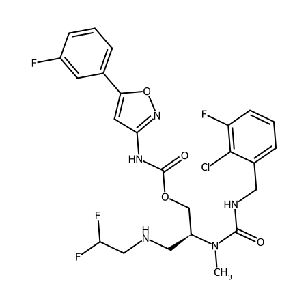 CN(C(=O)NCc1cccc(F)c1Cl)[C@@H](CNCC(F)F)COC(=O)Nc1cc(-c2cccc(F)c2)on1